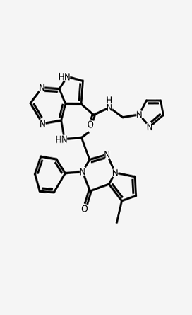 Cc1ccn2nc(C(C)Nc3ncnc4[nH]cc(C(=O)NCn5cccn5)c34)n(-c3ccccc3)c(=O)c12